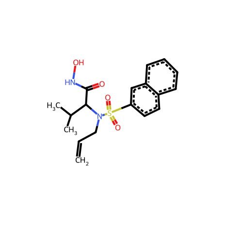 C=CCN(C(C(=O)NO)C(C)C)S(=O)(=O)c1ccc2ccccc2c1